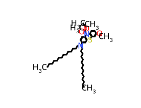 CCCCCCCCCCCCCCCN(CCCCCCCCCCCCCCC)c1ccc2c(c1)Sc1cc(OC)ccc1N2C(=O)OC(C)(C)C